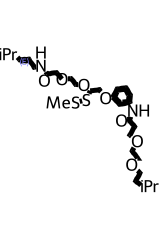 CSSC(COc1cccc(NC(=O)CCOCCOCCC(C)C)c1)OCCOCC(=O)NC/C=C/C(C)C